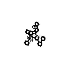 c1ccc(-c2nc(-c3ccccc3)nc(-c3cc(-c4ccccc4-c4ccccc4)cnc3-n3c4ccccc4c4c5oc6ccccc6c5ccc43)n2)cc1